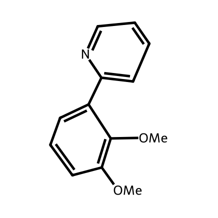 COc1cccc(-c2ccccn2)c1OC